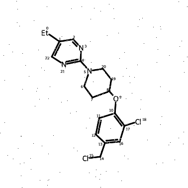 CCc1cnc(N2CCC(Oc3ccc(CCl)cc3Cl)CC2)nc1